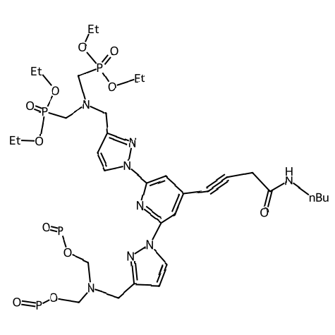 CCCCNC(=O)CC#Cc1cc(-n2ccc(CN(COP=O)COP=O)n2)nc(-n2ccc(CN(CP(=O)(OCC)OCC)CP(=O)(OCC)OCC)n2)c1